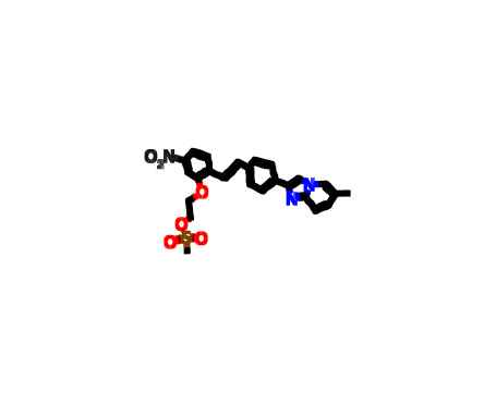 Cc1ccc2nc(-c3ccc(/C=C/c4ccc([N+](=O)[O-])cc4OCCOS(C)(=O)=O)cc3)cn2c1